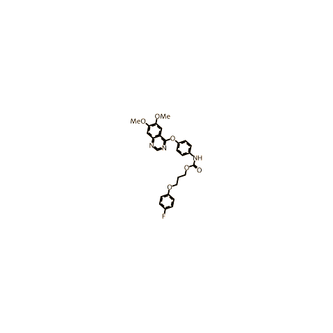 COc1cc2ncnc(Oc3ccc(NC(=O)OCCCOc4ccc(F)cc4)cc3)c2cc1OC